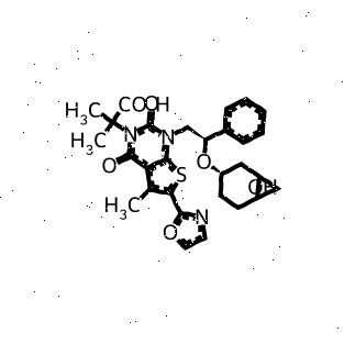 Cc1c(-c2ncco2)sc2c1c(=O)n(C(C)(C)C(=O)O)c(=O)n2C[C@H](O[C@@H]1CC[C@@]2(O)CC2C1)c1ccccc1